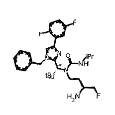 CC(C)NC(=O)N(CCC(N)CF)[C@@H](c1nc(-c2cc(F)ccc2F)cn1Cc1ccccc1)C(C)(C)C